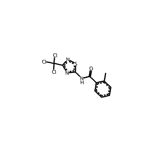 Cc1ccccc1C(=O)Nc1nc(C(Cl)(Cl)Cl)ns1